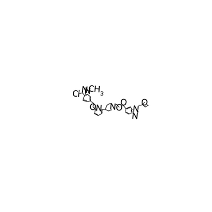 Cn1nc(Cl)c2ccc(COc3cccc(C4CCN(COC(=O)c5ccc6ncn(CC7CCO7)c6c5)CC4)n3)cc21